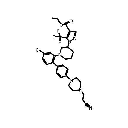 CCOC(=O)c1cnn(C2CCCN(c3cc(Cl)ccc3-c3ccc(N4CCN(CCC#N)CC4)cc3)C2)c1C(F)(F)F